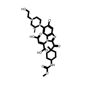 COC(=O)NC1CCC(C)(C(=O)c2nc3cc(Cl)c(N4CCN(CCO)C[C@@H]4C)cc3n2/C(=C\C(=O)O)C(=O)O)CC1